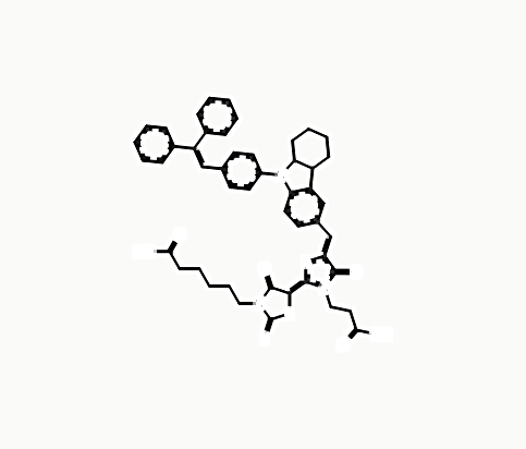 O=C(O)CCCCCN1C(=O)/C(=c2\s/c(=C\c3ccc4c(c3)C3CCCCC3N4c3ccc(C=C(c4ccccc4)c4ccccc4)cc3)c(=O)n2CCC(=O)O)SC1=S